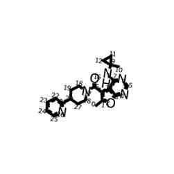 Cc1oc2ncnc(NC3(C)CC3)c2c1C(=O)N1CCC(c2ccccn2)CC1